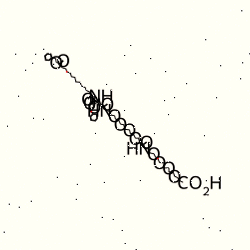 O=C(O)CCOCCOCCOCCOCCNC(=O)CCOCCOCCOCCOCCNC(=O)CC[C@H](NC(=O)CCCCCCCCCCCCC(=O)OCc1ccccc1)C(=O)OCc1ccccc1